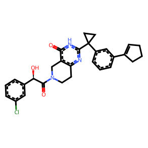 O=C([C@H](O)c1cccc(Cl)c1)N1CCc2nc(C3(c4cccc(C5=CCCC5)c4)CC3)[nH]c(=O)c2C1